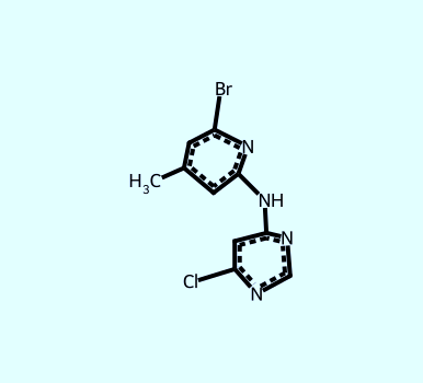 Cc1cc(Br)nc(Nc2cc(Cl)ncn2)c1